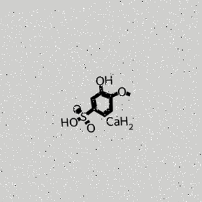 COc1ccc(S(=O)(=O)O)cc1O.[CaH2]